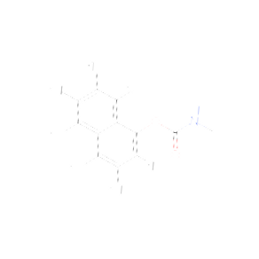 [2H]c1c([2H])c([2H])c2c(OC(=O)NC)c([2H])c([2H])c([2H])c2c1[2H]